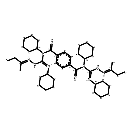 CC/C(C)=N/O/C(=N\C1CCCCC1)N(C(=O)c1ccc(C(=O)N(/C(=N/C2CCCCC2)O/N=C(\C)CC)C2CCCCC2)cc1)C1CCCCC1